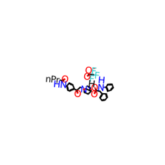 CCCC(=O)Nc1ccc(C(=O)C[N+]23CCC(CC2)[C@@H](OC(=O)[C@H](Nc2ccccc2)c2ccccc2)C3)cc1.O=C([O-])C(F)(F)F